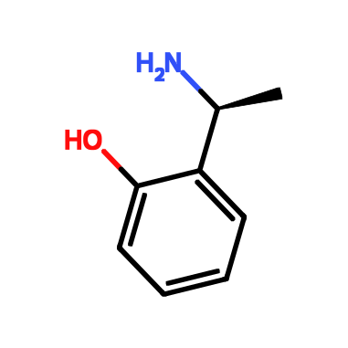 C[C@H](N)c1ccccc1O